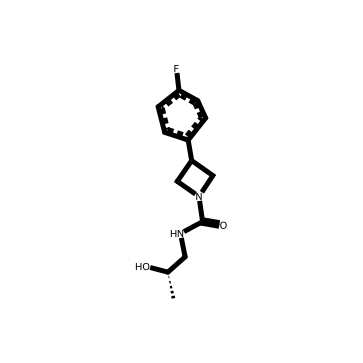 C[C@H](O)CNC(=O)N1CC(c2ccc(F)cc2)C1